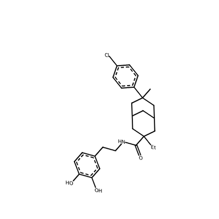 CCC1(C(=O)NCCc2ccc(O)c(O)c2)CC2CC(C1)CC(C)(c1ccc(Cl)cc1)C2